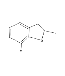 C[C]1Cc2cccc(F)c2S1